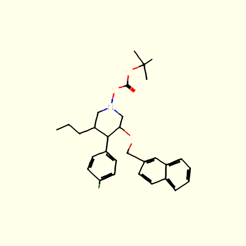 CCCC1CN(OC(=O)OC(C)(C)C)CC(OCc2ccc3ccccc3c2)C1c1ccc(Cl)cc1